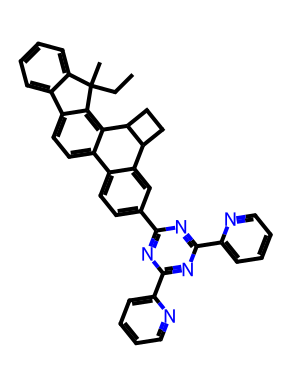 CCC1(C)c2ccccc2-c2ccc3c(c21)C1CCC1c1cc(-c2nc(-c4ccccn4)nc(-c4ccccn4)n2)ccc1-3